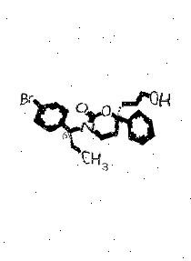 CC[C@@H](c1ccc(Br)cc1)N1CC[C@](CCCO)(c2ccccc2)OC1=O